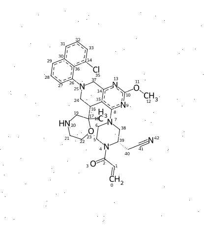 C=CC(=O)N1CCN(c2nc(OC)nc3c2C(C2(C)CNCCO2)CN(c2cccc4cccc(Cl)c24)C3)C[C@@H]1CC#N